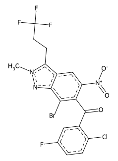 Cn1nc2c(Br)c(C(=O)c3cc(F)ccc3Cl)c([N+](=O)[O-])cc2c1CCC(F)(F)F